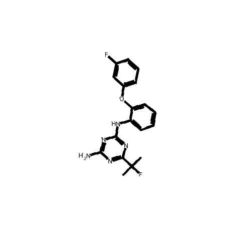 CC(C)(F)c1nc(N)nc(Nc2ccccc2Oc2cccc(F)c2)n1